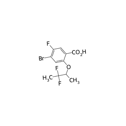 CC(Oc1cc(Br)c(F)cc1C(=O)O)C(C)(F)F